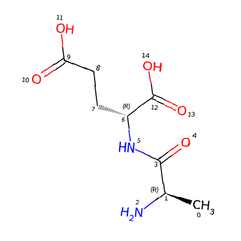 C[C@@H](N)C(=O)N[C@H](CCC(=O)O)C(=O)O